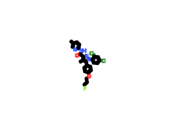 Cc1ccc(NC(=O)c2nn(-c3ccc(Cl)cc3Cl)c(-c3ccc(OCCCF)cc3)c2C)nc1